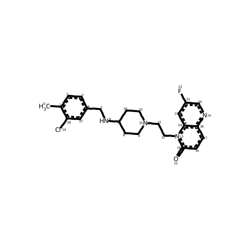 Cc1ccc(CNC2CCN(CCn3c(=O)ccc4ncc(F)cc43)CC2)cc1Cl